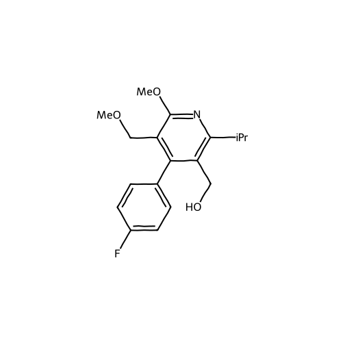 COCc1c(OC)nc(C(C)C)c(CO)c1-c1ccc(F)cc1